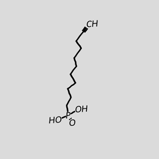 C#CCCCCCCCCCP(=O)(O)O